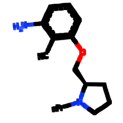 CCCN1CCC[C@@H]1COc1cccc(N)c1C#N